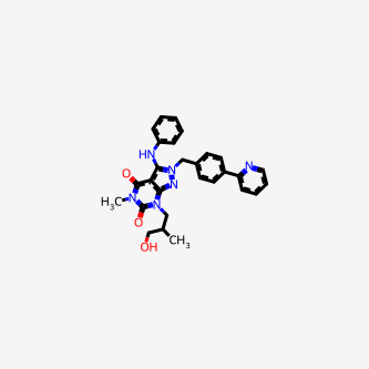 CC(CO)Cn1c(=O)n(C)c(=O)c2c(Nc3ccccc3)n(Cc3ccc(-c4ccccn4)cc3)nc21